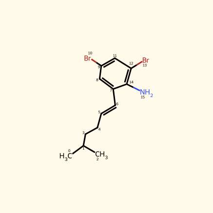 CC(C)CCC=Cc1cc(Br)cc(Br)c1N